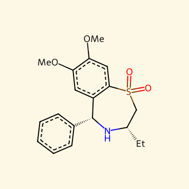 CC[C@H]1CS(=O)(=O)c2cc(OC)c(OC)cc2[C@@H](c2ccccc2)N1